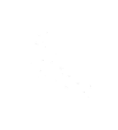 C[C@@H](O)CNc1ncc2cc(-c3ccccc3)c(-c3ccc(C4(N)CCC4)cc3)nc2n1